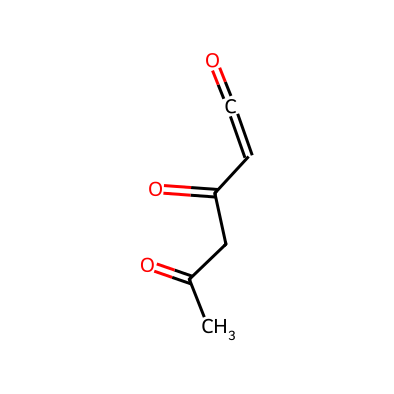 CC(=O)CC(=O)C=C=O